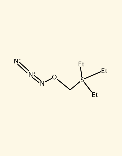 CCS(CC)(CC)CON=[N+]=[N-]